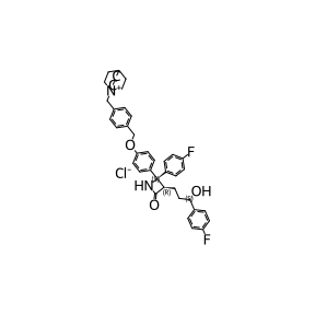 O=C1N[C@](c2ccc(F)cc2)(c2ccc(OCc3ccc(C[N+]45CCC(CC4)CC5)cc3)cc2)[C@H]1CC[C@H](O)c1ccc(F)cc1.[Cl-]